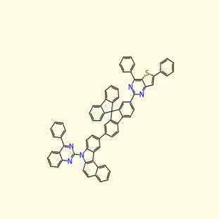 c1ccc(-c2cc3nc(-c4ccc5c(c4)C4(c6ccccc6-c6ccccc64)c4cc(-c6ccc7c(c6)c6c8ccccc8ccc6n7-c6nc(-c7ccccc7)c7ccccc7n6)ccc4-5)nc(-c4ccccc4)c3s2)cc1